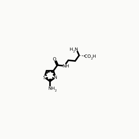 Nc1nc(C(=O)NCC[C@H](N)C(=O)O)cs1